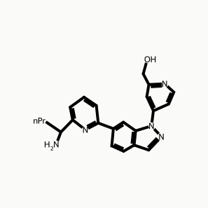 CCCC(N)c1cccc(-c2ccc3cnn(-c4ccnc(CO)c4)c3c2)n1